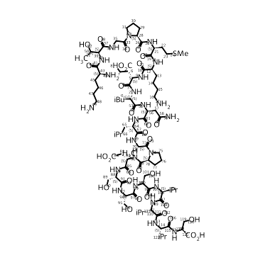 CC[C@H](C)[C@H](NC(=O)[C@H](CCC(=O)O)NC(=O)[C@H](CCCCN)NC(=O)[C@H](CCSC)NC(=O)[C@@H]1CCCN1C(=O)CNC(=O)[C@@H](NC(=O)[C@@H](N)CCCCN)[C@@H](C)O)C(=O)N[C@@H](CC(N)=O)C(=O)N[C@@H](CC(C)C)C(=O)N[C@@H](C)C(=O)N1CCC[C@H]1C(=O)N[C@@H](CC(=O)O)C(=O)N[C@@H](CO)C(=O)N[C@@H](CO)C(=O)N[C@@H](CO)C(=O)N[C@H](C(=O)N[C@H](C(=O)N[C@H](C(=O)N[C@@H](CO)C(=O)O)C(C)C)C(C)C)C(C)C